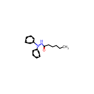 CCCCCC(=O)NN(c1ccccc1)c1ccccc1